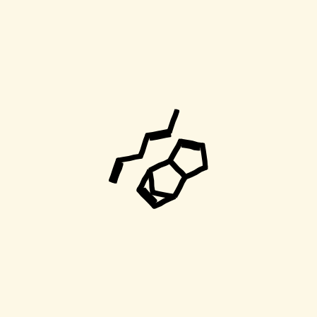 C1=CC2C3C=CC(C3)C2C1.C=CC/C=C/C